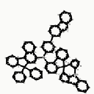 c1ccc(C2(c3ccccc3)c3ccccc3-c3c2cc(N(c2ccc(-c4ccc5c(c4)sc4ccccc45)cc2)c2cccc4c2-c2ccccc2C42c4ccccc4-n4c5ccccc5c5cccc2c54)c2ccccc32)cc1